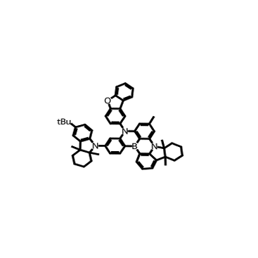 Cc1cc2c3c(c1)N1c4c(cccc4C4(C)CCCCC14C)B3c1ccc(N3c4ccc(C(C)(C)C)cc4C4(C)CCCCC34C)cc1N2c1ccc2oc3ccccc3c2c1